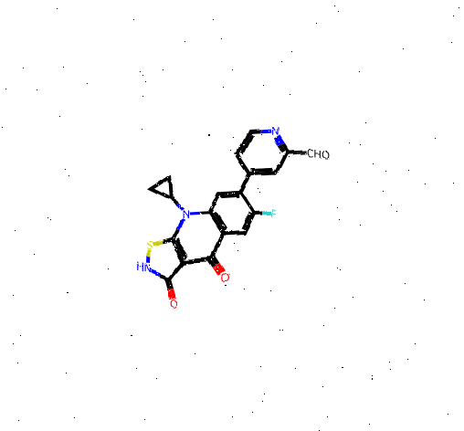 O=Cc1cc(-c2cc3c(cc2F)c(=O)c2c(=O)[nH]sc2n3C2CC2)ccn1